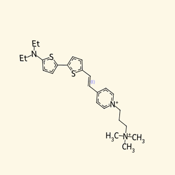 CCN(CC)c1ccc(-c2ccc(/C=C/c3cc[n+](CCC[N+](C)(C)C)cc3)s2)s1